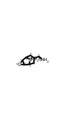 NCC1CC2C3OC3C(C1)N2C(=O)O